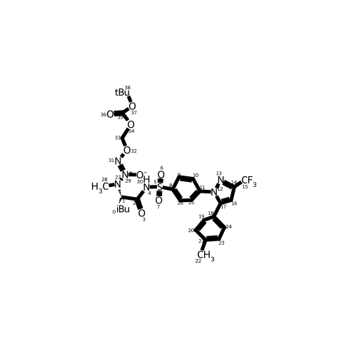 CC[C@@H](C)[C@@H](C(=O)NS(=O)(=O)c1ccc(-n2nc(C(F)(F)F)cc2-c2ccc(C)cc2)cc1)N(C)/[N+]([O-])=N/OCOC(=O)OC(C)(C)C